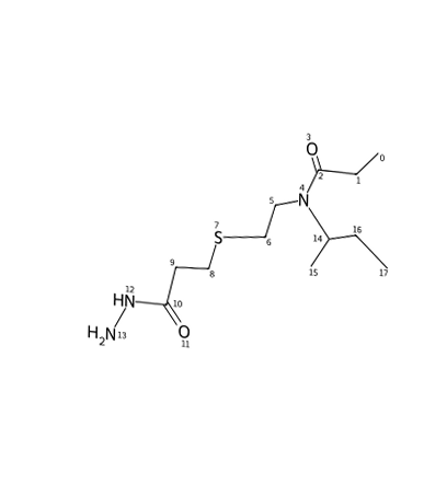 CCC(=O)N(CCSCCC(=O)NN)C(C)CC